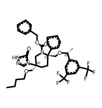 CCCCOC[C@@]1(n2cn[nH]c2=O)CC[C@@](CO[C@H](C)c2cc(C(F)(F)F)cc(C(F)(F)F)c2)(c2ccccc2)N(C(=O)OCc2ccccc2)C1